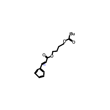 CCC(C)C(=O)OCCCCOC(=O)/C=C/c1ccccc1